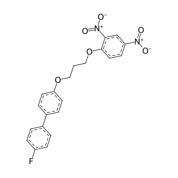 O=[N+]([O-])c1ccc(OCCCOc2ccc(-c3ccc(F)cc3)cc2)c([N+](=O)[O-])c1